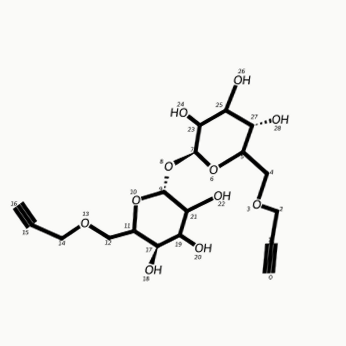 C#CCOCC1O[C@@H](O[C@H]2OC(COCC#C)[C@H](O)C(O)C2O)C(O)C(O)[C@@H]1O